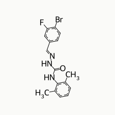 Cc1cccc(C)c1NC(=O)N/N=C/c1ccc(Br)c(F)c1